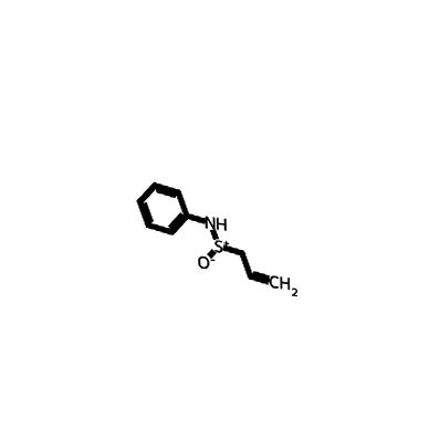 C=CC[S+]([O-])Nc1ccccc1